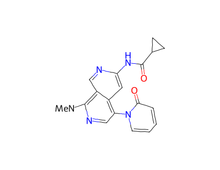 CNc1ncc(-n2ccccc2=O)c2cc(NC(=O)C3CC3)ncc12